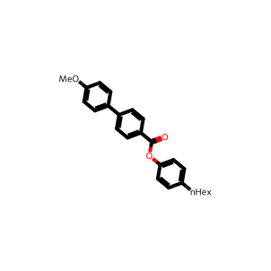 CCCCCCc1ccc(OC(=O)c2ccc(-c3ccc(OC)cc3)cc2)cc1